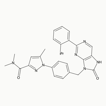 Cc1cc(C(=O)N(C)C)nn1-c1ccc(Cn2c(=O)[nH]c3cnc(-c4ccccc4C(C)C)nc32)cc1